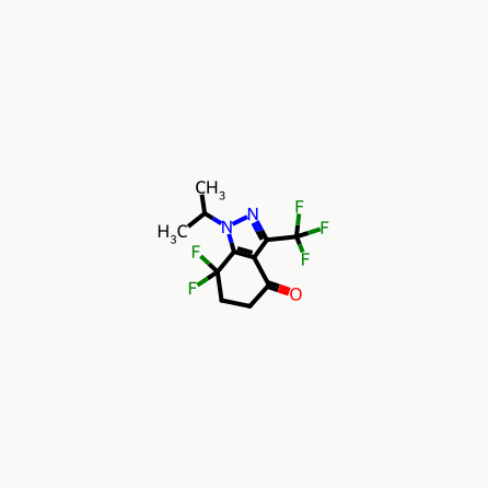 CC(C)n1nc(C(F)(F)F)c2c1C(F)(F)CCC2=O